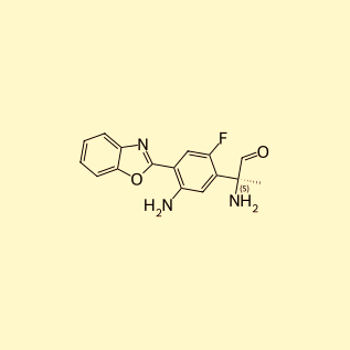 C[C@@](N)(C=O)c1cc(N)c(-c2nc3ccccc3o2)cc1F